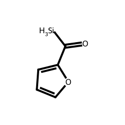 O=C([SiH3])c1ccco1